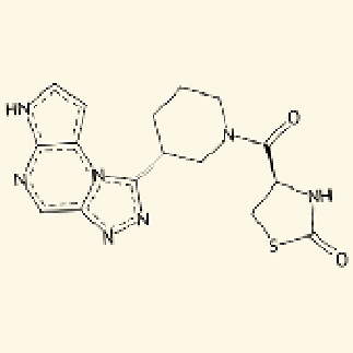 O=C1N[C@H](C(=O)N2CCC[C@@H](c3nnc4cnc5[nH]ccc5n34)C2)CS1